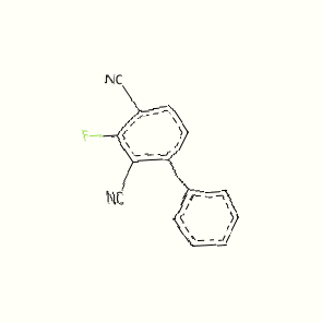 N#Cc1ccc(-c2ccccc2)c(C#N)c1F